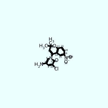 CC1(C)C=C(n2cc(N)cc(Cl)c2=O)c2cc([N+](=O)[O-])ccc2O1